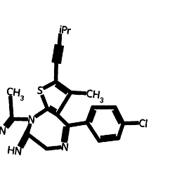 CC(=N)N1C(=N)CN=C(c2ccc(Cl)cc2)c2c1sc(C#CC(C)C)c2C